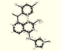 CC(c1ncc(F)cc1F)c1nccc2c(Nc3cn(C)cn3)nc(N)nc12